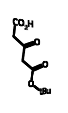 CC(C)(C)OC(=O)CC(=O)CC(=O)O